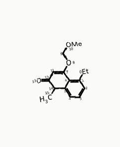 CCc1cccc2c1C(OCOC)=CC(=O)C2C